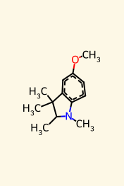 COc1ccc2c(c1)C(C)(C)C(C)N2C